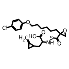 C=C1CC1CC(NSC(=O)C1(CCCCCCOc2ccc(Cl)cc2)CO1)C(=O)O